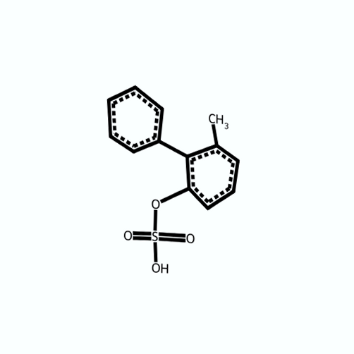 Cc1cccc(OS(=O)(=O)O)c1-c1ccccc1